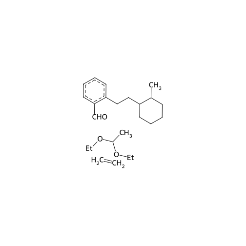 C=C.CC1CCCCC1CCc1ccccc1C=O.CCOC(C)OCC